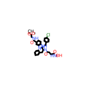 COC(=O)CNC(=O)c1ccc2c(c1)nc(C(Cc1ccccc1)NC(=O)CCC(=O)NO)n2Cc1ccc(Cl)cc1